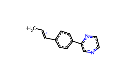 [CH2]/C=C/c1ccc(-c2cnccn2)cc1